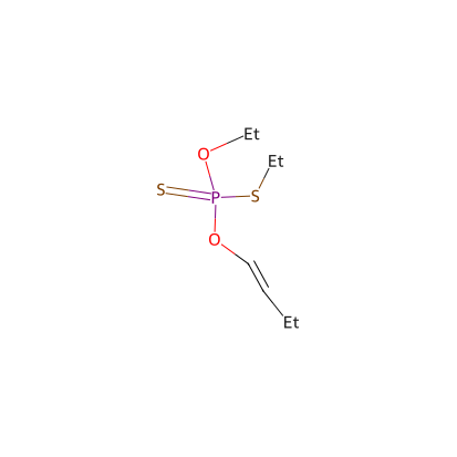 CCC=COP(=S)(OCC)SCC